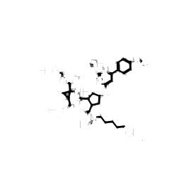 C=CCCCCN(C)C(=O)C1CC(Oc2cc(-c3ccc(OC)cc3)nc(OC)n2)CC1C(=O)NC1(C(=O)OCC)CC1C=C